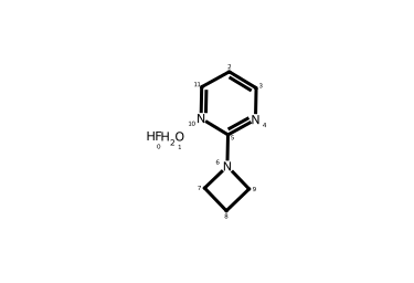 F.O.c1cnc(N2CCC2)nc1